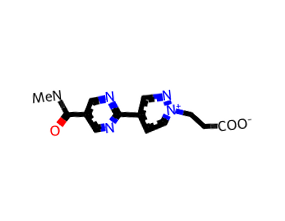 CNC(=O)c1cnc(-c2cc[n+](CCC(=O)[O-])nc2)nc1